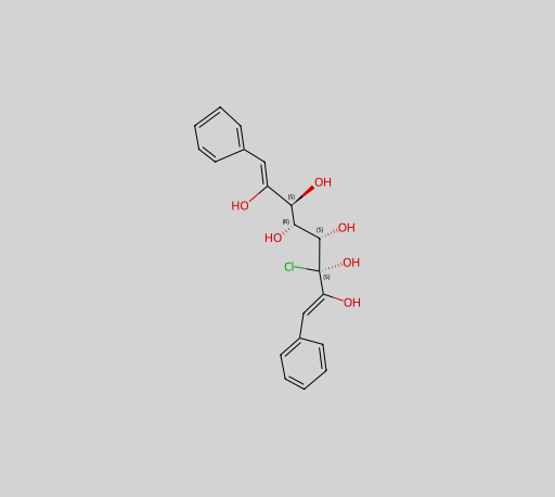 OC(=Cc1ccccc1)[C@@H](O)[C@@H](O)[C@H](O)[C@](O)(Cl)C(O)=Cc1ccccc1